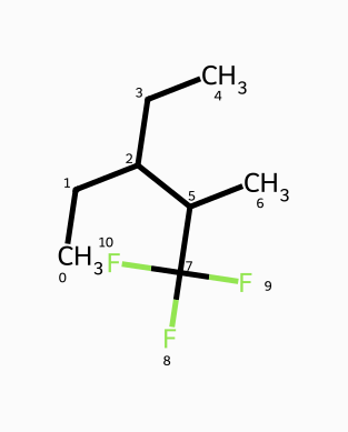 CCC(CC)C(C)C(F)(F)F